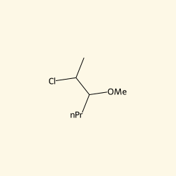 CCCC(OC)C(C)Cl